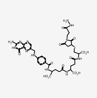 NNC(=O)CCN1C(=O)CC(SCC(NC(=O)CCC(NC(=O)CCC(NC(=O)c2ccc(NCc3cnc4nc(N)[nH]c(=O)c4n3)cc2)C(=O)O)C(=O)O)C(=O)O)C1=O